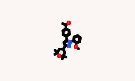 COc1ccccc1-n1nc(C2CC(C)(C)OC(C)(C)C2)cc1-c1ccc(C(C)=O)cc1